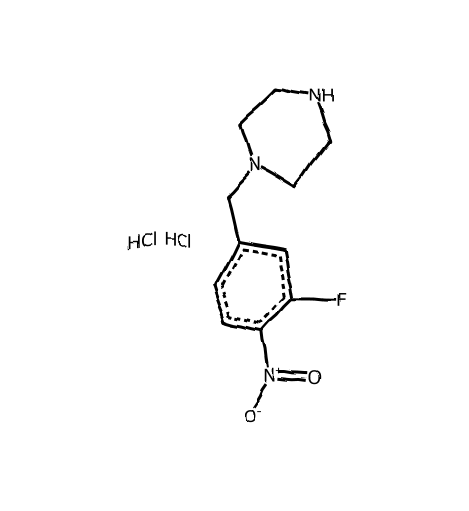 Cl.Cl.O=[N+]([O-])c1ccc(CN2CCNCC2)cc1F